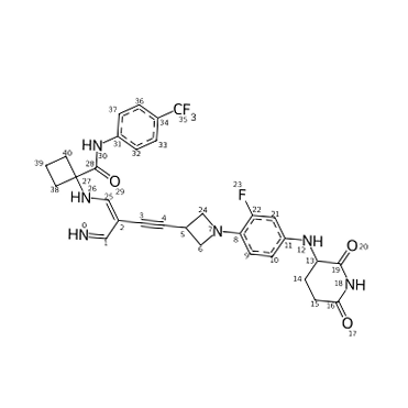 N=C/C(C#CC1CN(c2ccc(NC3CCC(=O)NC3=O)cc2F)C1)=C\NC1(C(=O)Nc2ccc(C(F)(F)F)cc2)CCC1